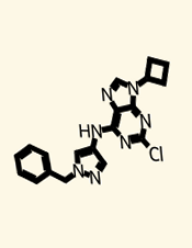 Clc1nc(Nc2cnn(Cc3ccccc3)c2)c2ncn(C3CCC3)c2n1